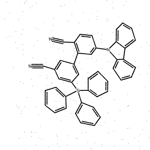 N#Cc1cc(-c2cc(-n3c4ccccc4c4ccccc43)ccc2C#N)cc([Si](c2ccccc2)(c2ccccc2)c2ccccc2)c1